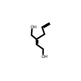 C=CC/C(=C\CO)CO